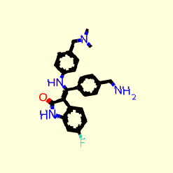 CN(C)Cc1ccc(N/C(=C2\C(=O)Nc3cc(F)ccc32)c2ccc(CN)cc2)cc1